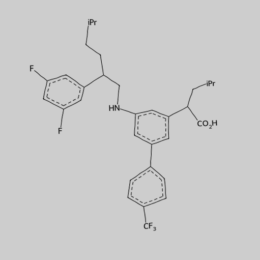 CC(C)CCC(CNc1cc(-c2ccc(C(F)(F)F)cc2)cc(C(CC(C)C)C(=O)O)c1)c1cc(F)cc(F)c1